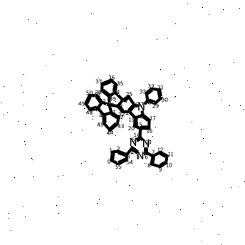 c1ccc(-c2nc(-c3ccccc3)nc(-c3ccc4c(c3)c3cc5c(cc3n4-c3ccccc3)-c3ccccc3C53c4ccccc4-c4ccccc43)n2)cc1